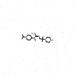 CC(C)N1CCC(N(C)/C(N)=N\CC(C)(C)N2CCNCC2)CC1